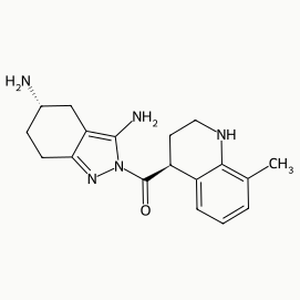 Cc1cccc2c1NCC[C@@H]2C(=O)n1nc2c(c1N)C[C@@H](N)CC2